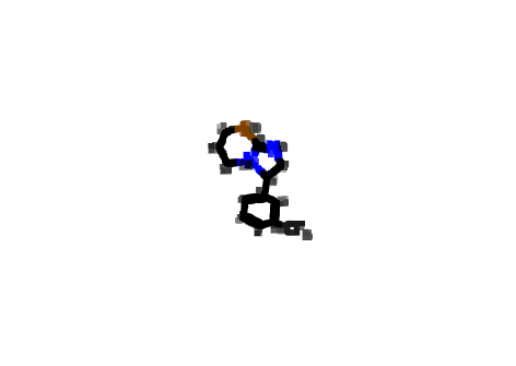 FC(F)(F)c1cccc(C2CN=C3SCCCN32)c1